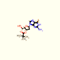 CC(C)(C)C(=O)O[C@H]1C[C@H](n2cnc3c(=S)[nH]c(N)nc32)O[C@@H]1CO